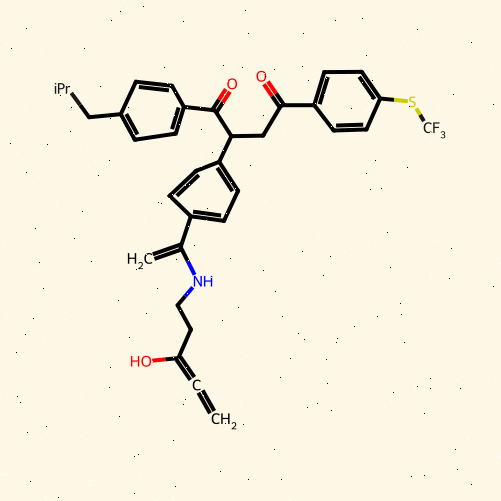 C=C=C(O)CCNC(=C)c1ccc(C(CC(=O)c2ccc(SC(F)(F)F)cc2)C(=O)c2ccc(CC(C)C)cc2)cc1